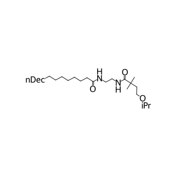 CCCCCCCCCCCCCCCCCC(=O)NCCNC(=O)C(C)(C)CCOC(C)C